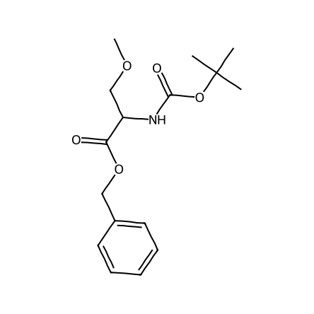 COCC(NC(=O)OC(C)(C)C)C(=O)OCc1ccccc1